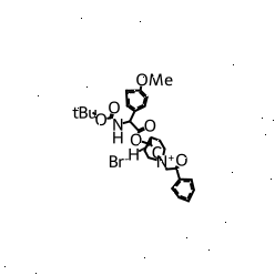 COc1ccc(C(NC(=O)OC(C)(C)C)C(=O)O[C@H]2C[N+]3(CC(=O)c4ccccc4)CCC2CC3)cc1.[Br-]